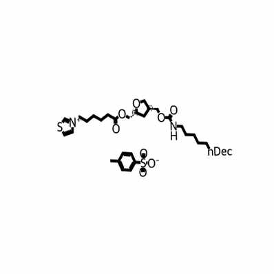 CCCCCCCCCCCCCCCNC(=O)OC[C@@H]1CO[C@@H](COC(=O)CCCCC[n+]2ccsc2)C1.Cc1ccc(S(=O)(=O)[O-])cc1